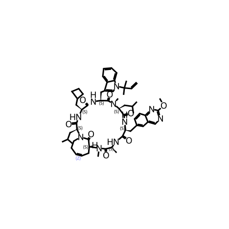 C=CC(C)(C)n1cc(C[C@@H]2NC(=O)[C@H](CC3CCC3)NC(=O)[C@H](CC(C)C)N3CC/C=C\C[C@@H](C3=O)N(C)C(=O)[C@H](C)NC(=O)[C@H](Cc3ccc4nc(OC)ncc4c3)NC(=O)[C@H](CC(C)C)N(C)C2=O)c2ccccc21